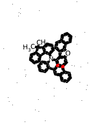 CC1(C)c2ccccc2-c2c(N(c3ccccc3-c3ccc4ccccc4c3)c3cccc4oc5c6ccccc6ccc5c34)cccc21